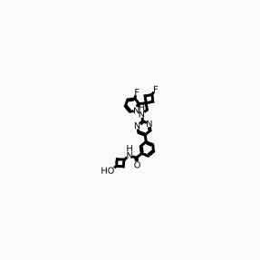 O=C(NC1CC(O)C1)c1cccc(-c2cnc(NCC3(c4ncccc4F)CC(F)C3)nc2)c1